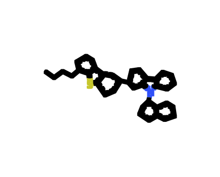 CCCCc1cccc2c1sc1ccc(-c3ccc4c5ccccc5n(-c5cccc6ccccc56)c4c3)cc12